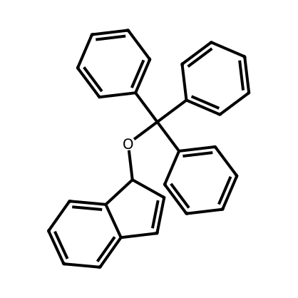 C1=CC(OC(c2ccccc2)(c2ccccc2)c2ccccc2)c2ccccc21